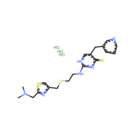 CN(C)Cc1nc(CSCCNc2nc(=S)c(Cc3cccnc3)c[nH]2)cs1.Cl.Cl.Cl